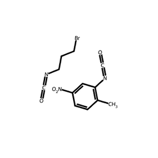 Cc1ccc([N+](=O)[O-])cc1N=C=O.O=C=NCCCBr